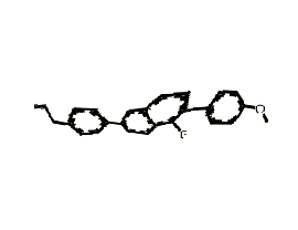 CCCc1ccc(-c2ccc3c(F)c(-c4ccc(OC)cc4)ccc3c2)cc1